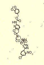 O=C(O)CN(CCNS(=O)(=O)c1nnc(-c2ccc(Cl)cc2[N+](=O)[O-])s1)C(=O)Cn1ccc(NC(=O)OCc2ccc3c(c2)OCO3)nc1=O